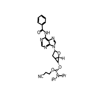 CC(C)N(C(C)C)P(OCCC#N)O[C@@H]1C2C[C@H](n3cnc4c(NC(=O)c5ccccc5)ncnc43)O[C@@H]21